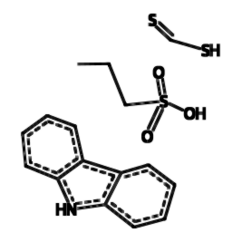 CCCS(=O)(=O)O.S=CS.c1ccc2c(c1)[nH]c1ccccc12